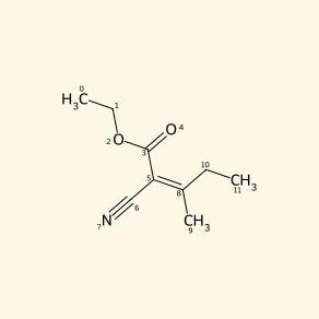 CCOC(=O)C(C#N)=C(C)CC